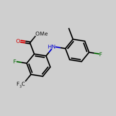 COC(=O)c1c(Nc2ccc(F)cc2C)ccc(C(F)(F)F)c1F